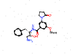 CCCCCOc1cc(C(=O)N[C@@H](Cc2ccccc2)[C@@H](O)CN)cc(N2CCCC2=O)c1